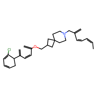 C=C(/C=C\C=C/C)CN1CCC2(CC1)CC(COC(=C)/C=C\C(=C)C1CC=CC=C1Cl)C2